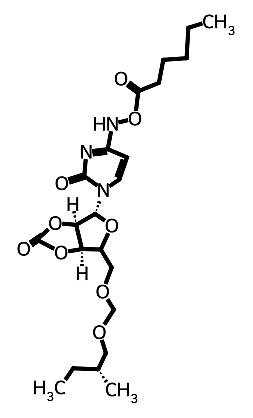 CCCCCC(=O)ONc1ccn([C@@H]2OC(COCOC[C@H](C)CC)[C@H]3OC(=O)O[C@H]32)c(=O)n1